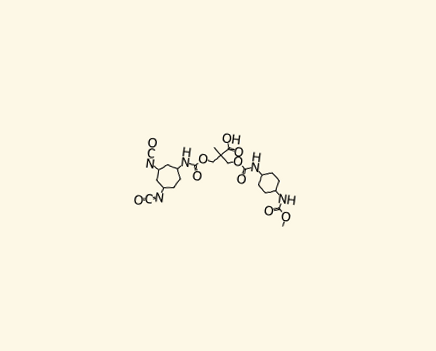 COC(=O)NC1CCC(NC(=O)OCC(C)(COC(=O)NC2CCC(N=C=O)CC(N=C=O)C2)C(=O)O)CC1